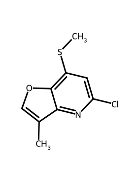 CSc1cc(Cl)nc2c(C)coc12